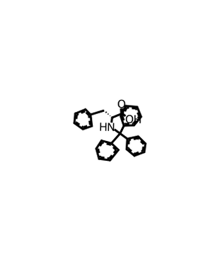 O=C(O)[C@@H](Cc1ccccc1)NC(c1ccccc1)(c1ccccc1)c1ccccc1